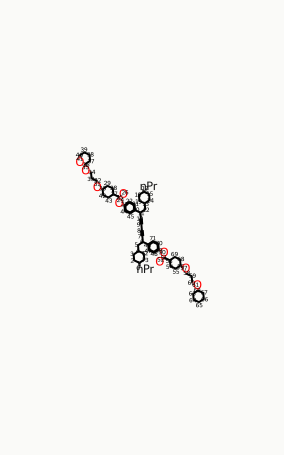 CCCC1CCC(CC(C#CC#CC(CC2CCC(CCC)CC2)c2ccc(OC(=O)C3CCC(OCCCOC4CCCCO4)CC3)cc2)c2ccc(OC(=O)C3CCC(OCCCOC4CCCCC4)CC3)cc2)CC1